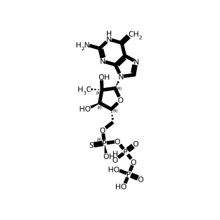 C=C1NC(N)=Nc2c1ncn2[C@@H]1O[C@H](CO[P@@](O)(=S)OP(=O)(O)OP(=O)(O)O)[C@@H](O)[C@@]1(C)O